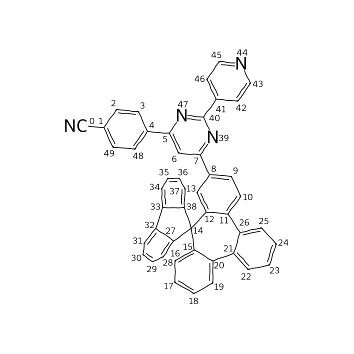 N#Cc1ccc(-c2cc(-c3ccc4c(c3)C3(c5ccccc5-c5ccccc5-4)c4ccccc4-c4ccccc43)nc(-c3ccncc3)n2)cc1